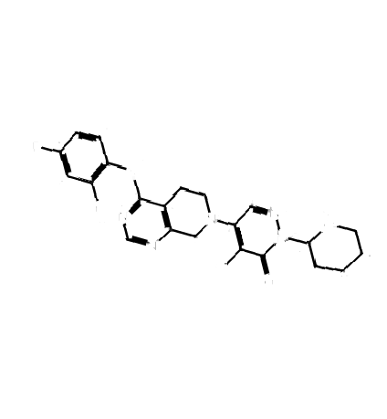 O=c1c(Cl)c(N2CCc3c(ncnc3Sc3ccc(F)cc3C(F)(F)F)C2)cnn1C1CCCCO1